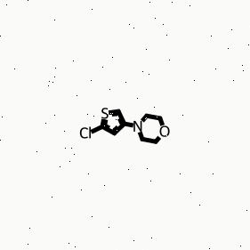 Clc1cc(N2CCOCC2)cs1